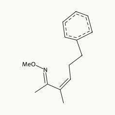 CON=C(C)C(C)=CCCc1ccccc1